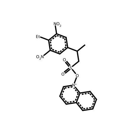 CCc1c([N+](=O)[O-])cc(C(C)CS(=O)(=O)O[n+]2cccc3ccccc32)cc1[N+](=O)[O-]